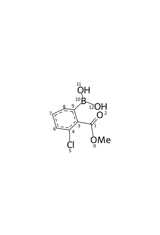 COC(=O)c1c(Cl)cccc1B(O)O